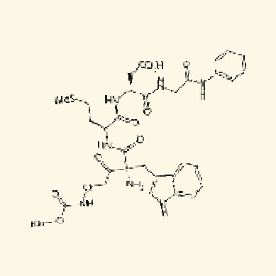 CSCC[C@H](NC(=O)[C@@](N)(Cc1c[nH]c2ccccc12)C(=O)CONC(=O)OC(C)(C)C)C(=O)N[C@@H](CC(=O)O)C(=O)NCC(=O)Nc1ccccc1